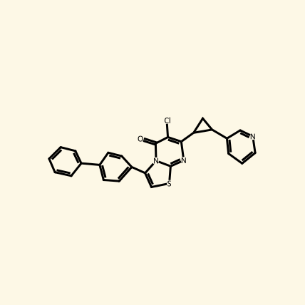 O=c1c(Cl)c(C2CC2c2cccnc2)nc2scc(-c3ccc(-c4ccccc4)cc3)n12